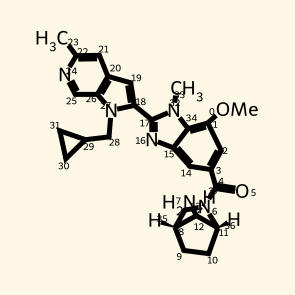 COc1cc(C(=O)N2C[C@H]3CC[C@@H]2[C@@H]3N)cc2nc(-c3cc4cc(C)ncc4n3CC3CC3)n(C)c12